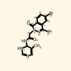 CC1=CN=CNC1NC(=O)Cn1nc(C(C)C)c2cc(Br)ccc2c1=O